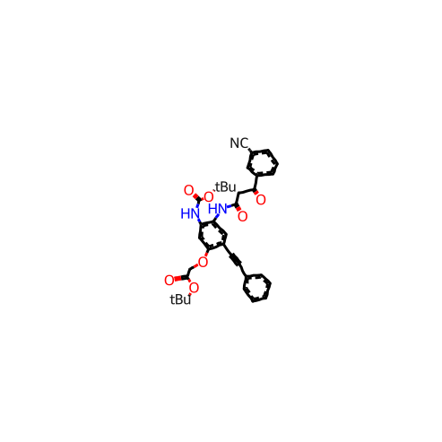 CC(C)(C)OC(=O)COc1cc(NC(=O)OC(C)(C)C)c(NC(=O)CC(=O)c2cccc(C#N)c2)cc1C#Cc1ccccc1